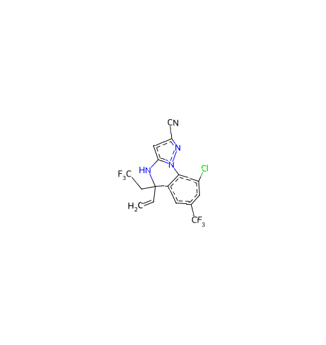 C=CC1(CC(F)(F)F)Nc2cc(C#N)nn2-c2c(Cl)cc(C(F)(F)F)cc21